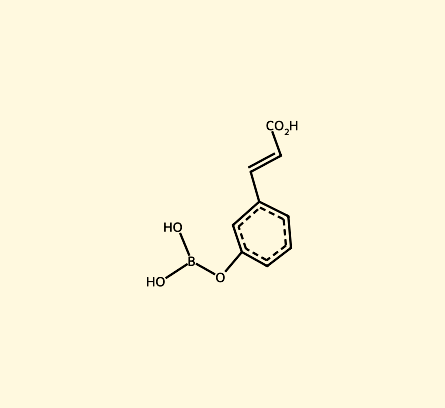 O=C(O)C=Cc1cccc(OB(O)O)c1